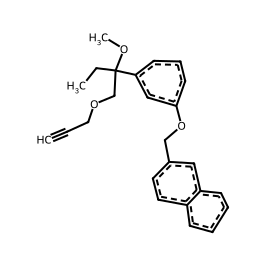 C#CCOCC(CC)(OC)c1cccc(OCc2ccc3ccccc3c2)c1